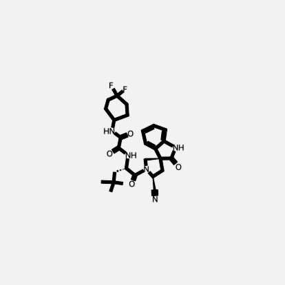 CC(C)(C)C[C@H](NC(=O)C(=O)NC1CCC(F)(F)CC1)C(=O)N1C[C@]2(C[C@H]1C#N)C(=O)Nc1ccccc12